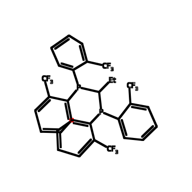 CCC(P(c1ccccc1C(F)(F)F)c1ccccc1C(F)(F)F)P(c1ccccc1C(F)(F)F)c1ccccc1C(F)(F)F